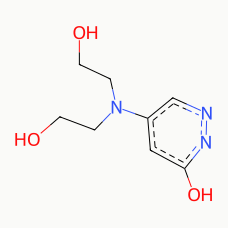 OCCN(CCO)c1cnnc(O)c1